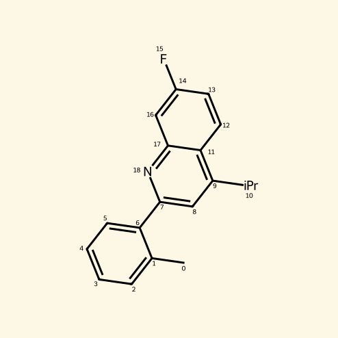 Cc1ccccc1-c1cc(C(C)C)c2ccc(F)cc2n1